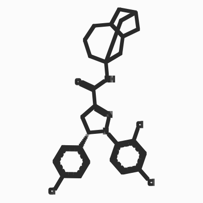 O=C(NC12CCCC3CC(CC3C1)C2)C1=NN(c2ccc(Cl)cc2Cl)[C@H](c2ccc(Cl)cc2)C1